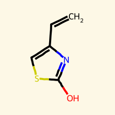 C=Cc1csc(O)n1